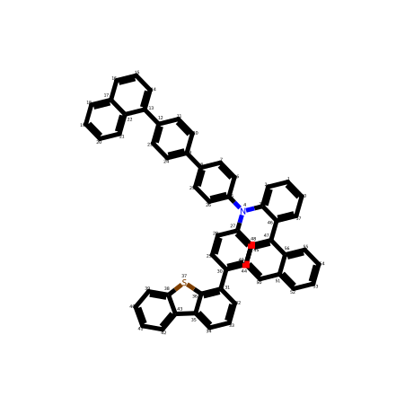 c1ccc(N(c2ccc(-c3ccc(-c4cccc5ccccc45)cc3)cc2)c2ccc(-c3cccc4c3sc3ccccc34)cc2)c(-c2cccc3ccccc23)c1